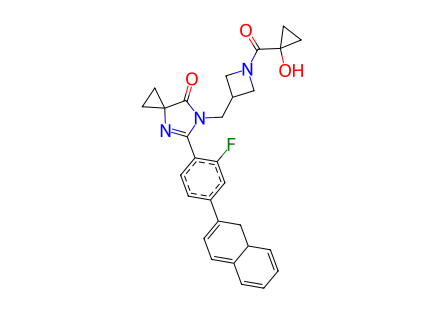 O=C(N1CC(CN2C(=O)C3(CC3)N=C2c2ccc(C3=CC=C4C=CC=CC4C3)cc2F)C1)C1(O)CC1